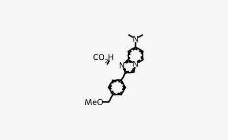 CC(=O)O.COCc1ccc(-c2cn3ccc(N(C)C)cc3n2)cc1